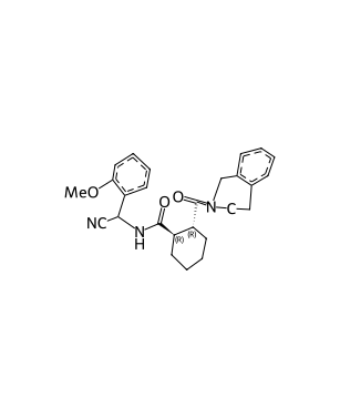 COc1ccccc1C(C#N)NC(=O)[C@@H]1CCCC[C@H]1C(=O)N1CCc2ccccc2C1